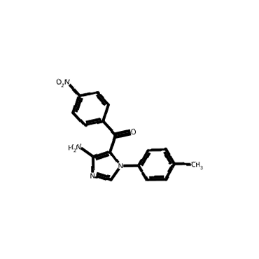 Cc1ccc(-n2cnc(N)c2C(=O)c2ccc([N+](=O)[O-])cc2)cc1